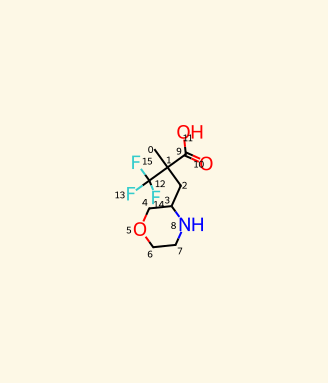 CC(CC1COCCN1)(C(=O)O)C(F)(F)F